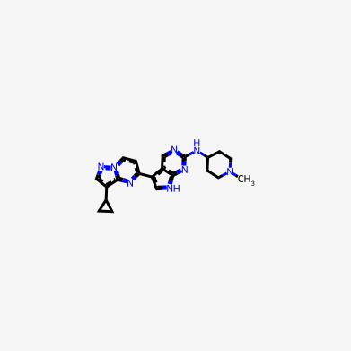 CN1CCC(Nc2ncc3c(-c4ccn5ncc(C6CC6)c5n4)c[nH]c3n2)CC1